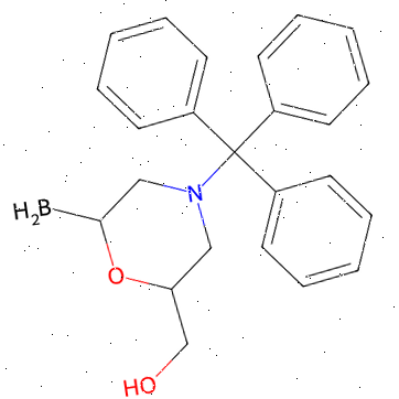 BC1CN(C(c2ccccc2)(c2ccccc2)c2ccccc2)CC(CO)O1